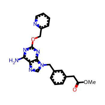 COC(=O)Cc1cccc(Cn2cnc3c(N)nc(OCc4ccccn4)nc32)c1